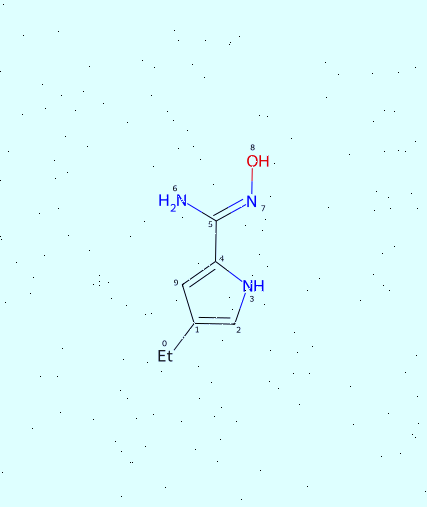 CCc1c[nH]c(/C(N)=N/O)c1